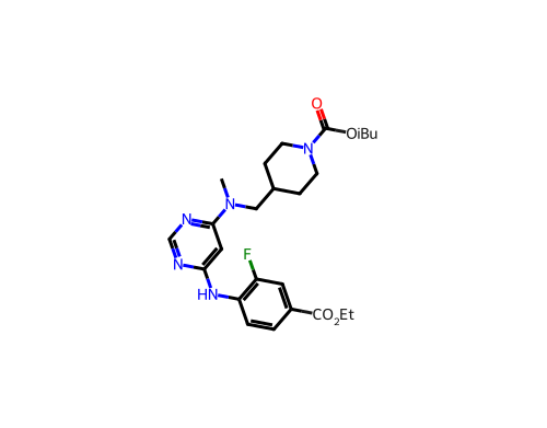 CCOC(=O)c1ccc(Nc2cc(N(C)CC3CCN(C(=O)OCC(C)C)CC3)ncn2)c(F)c1